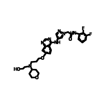 O=C(Cn1cc(Nc2ncnc3cc(OCCCN(CCO)C4CCOCC4)ccc23)cn1)Nc1cccc(F)c1F